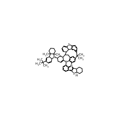 CC(C)(C)C1=CC2C(C=C1)N(C1CC=C3B4c5c6cc(cc5-n5c7c(c8cccc4c85)S[C@@H]4CCCCC74)C(C)(C)c4ccc5c(c4)C4C(=CC=CC4C(C6)C3C1)S5)C1(C)CCCCC21C